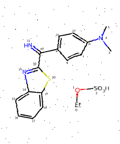 CCOS(=O)(=O)O.CN(C)c1ccc(C(=N)c2nc3ccccc3s2)cc1